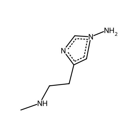 CNCCc1cn(N)cn1